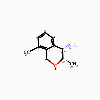 Cc1cccc2c1CO[C@@H](C)[C@H]2N